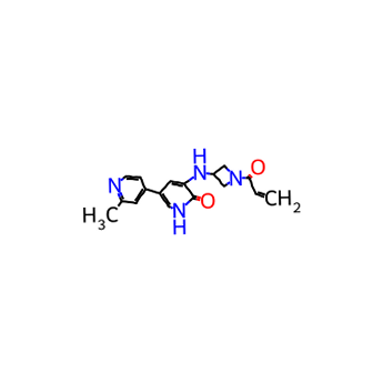 C=CC(=O)N1CC(Nc2cc(-c3ccnc(C)c3)c[nH]c2=O)C1